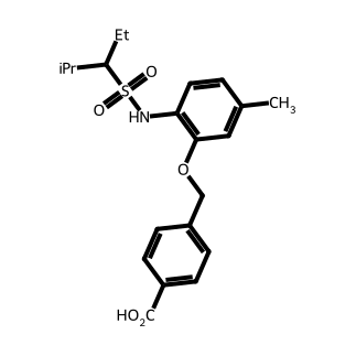 CCC(C(C)C)S(=O)(=O)Nc1ccc(C)cc1OCc1ccc(C(=O)O)cc1